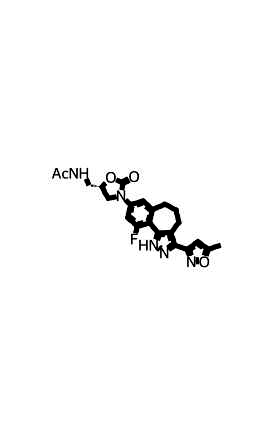 CC(=O)NC[C@H]1CN(c2cc(F)c3c(c2)CCCc2c(-c4cc(C)on4)n[nH]c2-3)C(=O)O1